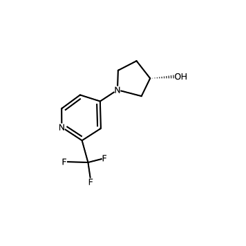 O[C@H]1CCN(c2ccnc(C(F)(F)F)c2)C1